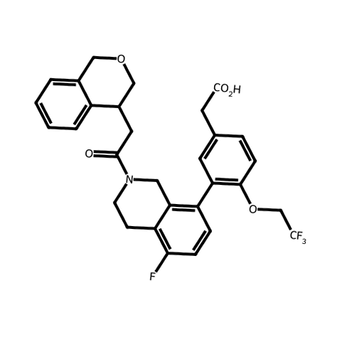 O=C(O)Cc1ccc(OCC(F)(F)F)c(-c2ccc(F)c3c2CN(C(=O)CC2COCc4ccccc42)CC3)c1